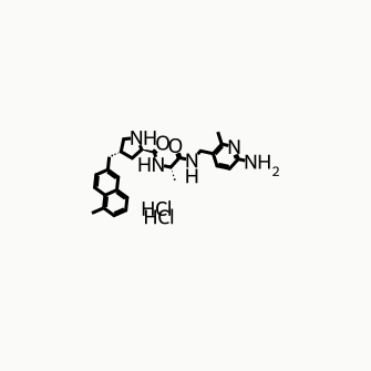 Cc1nc(N)ccc1CNC(=O)[C@H](C)NC(=O)[C@H]1C[C@H](Cc2ccc3c(C)cccc3c2)CN1.Cl.Cl